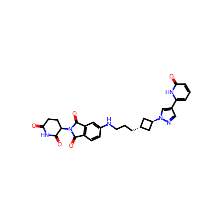 O=C1CCC(N2C(=O)c3ccc(NCCC[C@H]4C[C@H](n5cc(-c6cccc(=O)[nH]6)cn5)C4)cc3C2=O)C(=O)N1